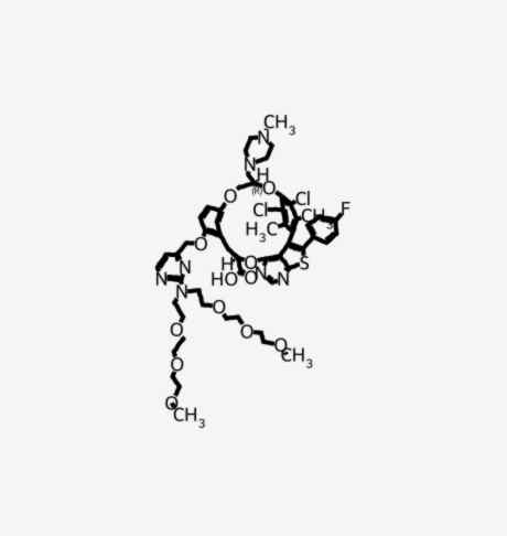 COCCOCCOCCN(CCOCCOCCOC)c1nccc(COc2ccc3cc2C[C@H](C(=O)O)Oc2ncnc4sc(-c5ccc(F)cc5)c(c24)-c2c(C)c(Cl)c(c(Cl)c2C)O[C@H](CN2CCN(C)CC2)CO3)n1